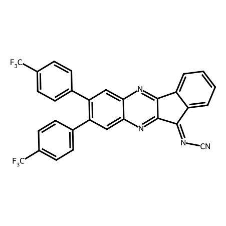 N#C/N=C1\c2ccccc2-c2nc3cc(-c4ccc(C(F)(F)F)cc4)c(-c4ccc(C(F)(F)F)cc4)cc3nc21